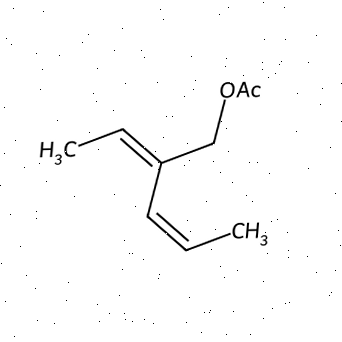 C/C=C\C(=C/C)COC(C)=O